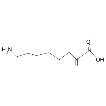 NCCCCCCNC(=O)O